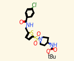 CC(C)(C)OC(=O)NC1CCN(S(=O)(=O)c2ccc(CNC(=O)c3ccc(Cl)cc3)s2)CC1